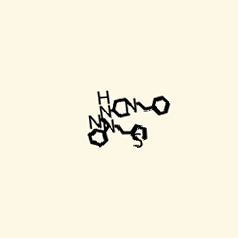 c1ccc(CCN2CCC(Nc3nc4ccccc4n3CCc3cccs3)CC2)cc1